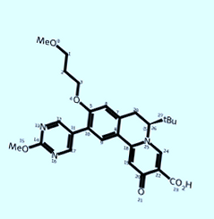 COCCCOc1cc2c(cc1-c1cnc(OC)nc1)-c1cc(=O)c(C(=O)O)cn1[C@H](C(C)(C)C)C2